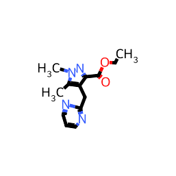 CCOC(=O)c1nn(C)c(C)c1Cc1ncccn1